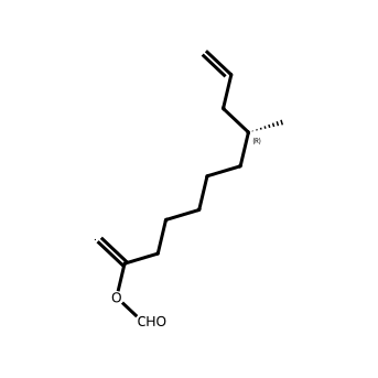 [CH]=C(CCCCC[C@@H](C)CC=C)OC=O